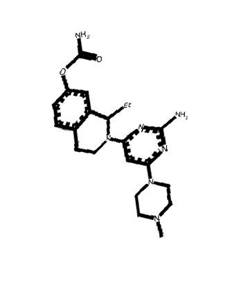 CCC1c2cc(OC(N)=O)ccc2CCN1c1cc(N2CCN(C)CC2)nc(N)n1